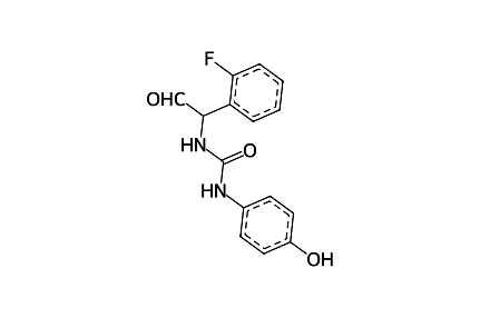 O=CC(NC(=O)Nc1ccc(O)cc1)c1ccccc1F